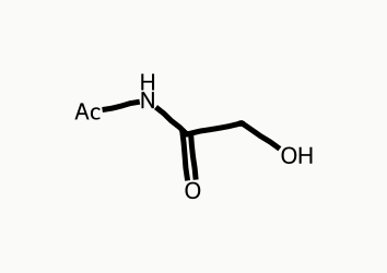 [CH2]C(=O)NC(=O)CO